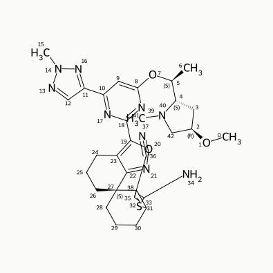 CO[C@@H]1C[C@@H]([C@H](C)Oc2cc(-c3cnn(C)n3)nc(-c3onc4c3CCC[C@@]43CCCc4sc(N)c(C#N)c43)n2)N(C)C1